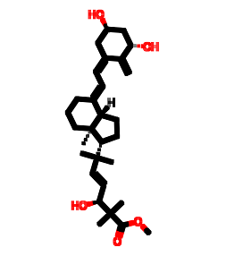 C=C1/C(=C\C=C2/CCC[C@]3(C)[C@@H](C(C)(C)/C=C/[C@H](O)C(C)(C)C(=O)OC)CC[C@@H]23)C[C@@H](O)C[C@@H]1O